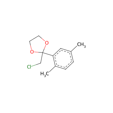 Cc1ccc(C)c(C2(CCl)OCCO2)c1